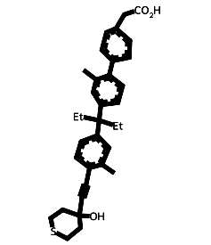 CCC(CC)(c1ccc(C#CC2(O)CCSCC2)c(C)c1)c1ccc(-c2ccc(CC(=O)O)cc2)c(C)c1